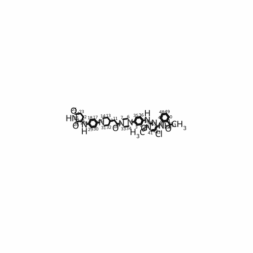 COc1cc(N2CCN(C(=O)CC3CCN(c4ccc(NC5CCC(=O)NC5=O)cc4)CC3)CC2)ccc1Nc1ncc(Cl)c(Nc2ccccc2C(C)=O)n1